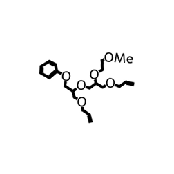 C=CCOCC(COc1ccccc1)OCC(COCC=C)OCCOC